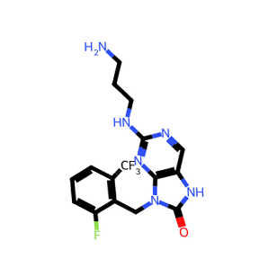 NCCCNc1ncc2[nH]c(=O)n(Cc3c(F)cccc3C(F)(F)F)c2n1